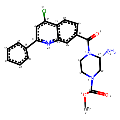 CCCOC(=O)N1CCN(C(=O)c2ccc3c(Cl)cc(-c4ccccc4)nc3c2)[C@H](N)C1